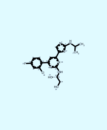 CC(C)Nc1ncc(-c2cc(-c3ccc(F)cc3Cl)nc(N[C@@H](O)CO)n2)s1